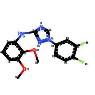 COc1cccc(Nc2ncn(-c3ccc(F)c(F)c3)n2)c1OC